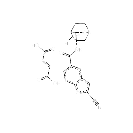 N#Cc1cc2cc(C(=O)N[C@H]3CN4CCC3CC4)ccc2o1.O=C(O)C=CC(=O)O